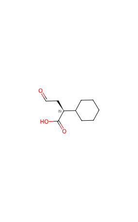 O=CC[C@H](C(=O)O)C1CCCCC1